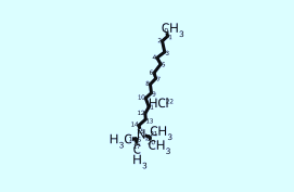 CCCCCCCCCCCCCCCN(C(C)C)C(C)C.Cl